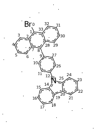 Brc1c2ccccc2c(-c2ccc(-n3c4ccccc4c4ccccc43)cc2)c2ccccc12